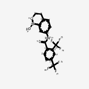 O=C(Nc1ccc2c(c1)B(O)OCC2)c1ccc(C(F)(F)F)cc1C(F)(F)F